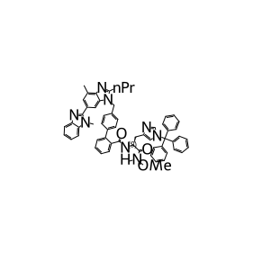 CCCc1nc2c(C)cc(-c3nc4ccccc4n3C)cc2n1Cc1ccc(-c2ccccc2C(=O)N[C@@H](Cc2cn(C(c3ccccc3)(c3ccccc3)c3ccccc3)cn2)C(=O)N(C)OC)cc1